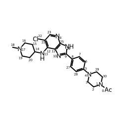 CC(=O)N1CCN(c2ccc(-c3nc4c(NC5CCN(C)CC5)c(Cl)cnc4[nH]3)cc2)CC1